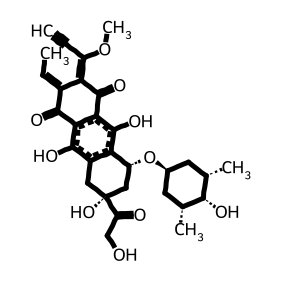 C#C/C(OC)=C1/C(=O)c2c(O)c3c(c(O)c2C(=O)/C1=C/C)C[C@](O)(C(=O)CO)C[C@H]3O[C@@H]1C[C@@H](C)[C@@H](O)[C@@H](C)C1